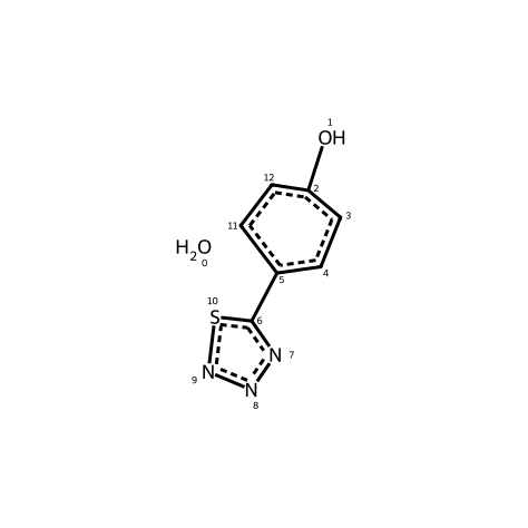 O.Oc1ccc(-c2nnns2)cc1